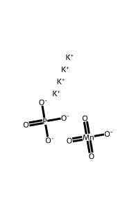 O=P([O-])([O-])[O-].[K+].[K+].[K+].[K+].[O]=[Mn](=[O])(=[O])[O-]